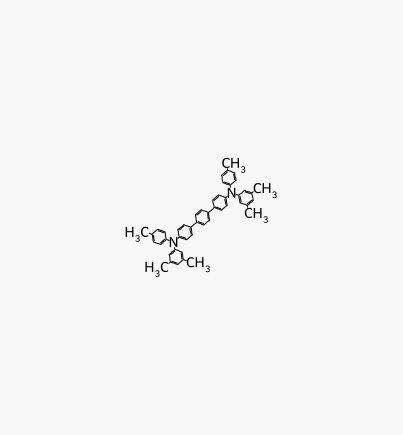 Cc1ccc(N(c2ccc(-c3ccc(-c4ccc(N(c5ccc(C)cc5)c5cc(C)cc(C)c5)cc4)cc3)cc2)c2cc(C)cc(C)c2)cc1